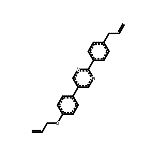 C=CCOc1ccc(-c2cnc(-c3ccc(CC=C)cc3)nc2)cc1